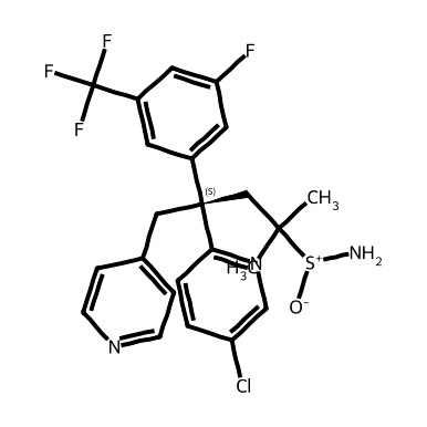 CC(C)(C[C@@](Cc1ccncc1)(c1cc(F)cc(C(F)(F)F)c1)c1ccc(Cl)cn1)[S+](N)[O-]